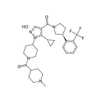 CN1CCC(C(=O)N2CCC(n3ncc(C(=O)N4CC[C@@H](c5ccccc5C(F)(F)F)C4)c3C3CC3)CC2)CC1.Cl